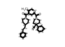 Cc1cnc(C(=O)N2CCC(C#N)(c3ccccc3)CC2)cc1C(=O)N1CCC(CCc2ccccc2)CC1